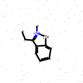 CCc1c2ccccc2[te][n+]1C